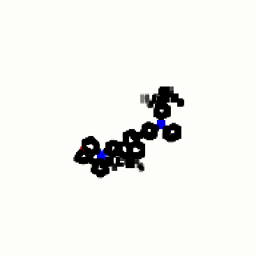 C[Si](C)(C)c1ccc(N(c2ccccc2)c2ccc(-c3ccc4c5c(cccc35)[Si](C)(C)c3cc(N(c5ccccc5)c5ccccc5-c5ccccc5)ccc3-4)cc2)cc1